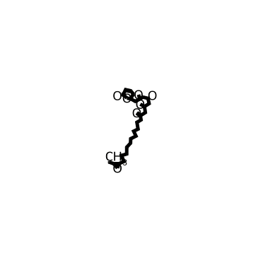 CCC1OC1CCCCCCCCCCCC(=O)CC1CC(=O)CC2(CC3OC(=O)C=CC3O2)O1